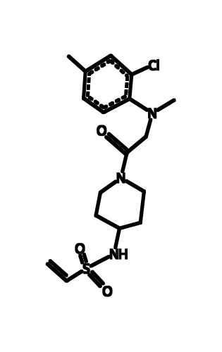 C=CS(=O)(=O)NC1CCN(C(=O)CN(C)c2ccc(C)cc2Cl)CC1